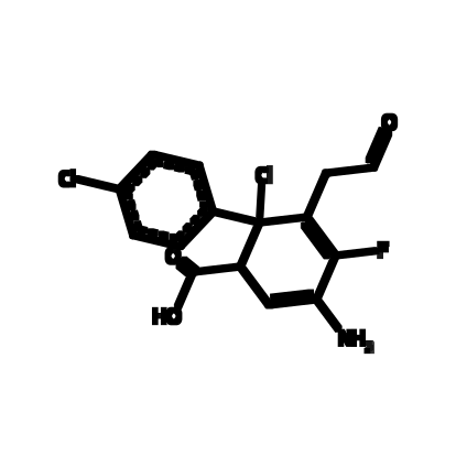 NC1=CC(C(=O)O)C(Cl)(c2ccc(Cl)cc2)C(CC=O)=C1F